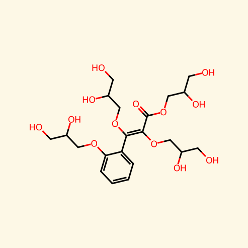 O=C(OCC(O)CO)C(OCC(O)CO)=C(OCC(O)CO)c1ccccc1OCC(O)CO